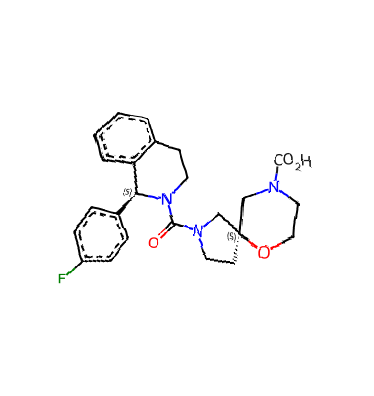 O=C(O)N1CCO[C@]2(CCN(C(=O)N3CCc4ccccc4[C@@H]3c3ccc(F)cc3)C2)C1